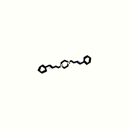 C(=C\c1ccccc1)/CCN1CCN(CC/C=C/c2ccccc2)CC1